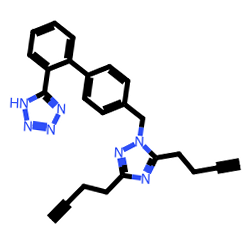 C#CCCc1nc(CCC#C)n(Cc2ccc(-c3ccccc3-c3nnn[nH]3)cc2)n1